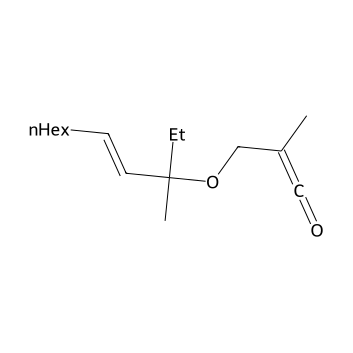 CCCCCCC=CC(C)(CC)OCC(C)=C=O